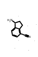 N#Cc1cccc2c1CC[C]2N